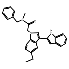 COc1ccc2c(c1)c(-c1cc3cccnc3[nH]1)cn2CC(=O)N(C)Cc1ccccc1